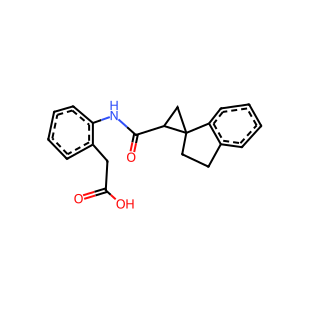 O=C(O)Cc1ccccc1NC(=O)C1CC12CCc1ccccc12